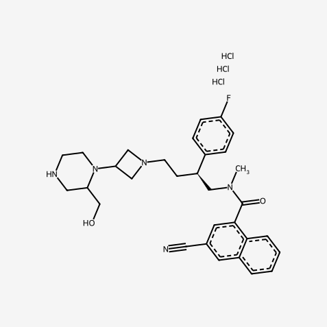 CN(C[C@@H](CCN1CC(N2CCNCC2CO)C1)c1ccc(F)cc1)C(=O)c1cc(C#N)cc2ccccc12.Cl.Cl.Cl